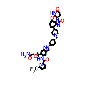 Cn1c(=O)n(C2CCC(=O)NC2=O)c2cccc(C3CCN(C[C@H]4CC[C@H](n5cc6cc(NC(=O)c7cccc(C(F)(F)F)n7)c(C(C)(C)OCC(N)=O)cc6n5)CC4)CC3)c21